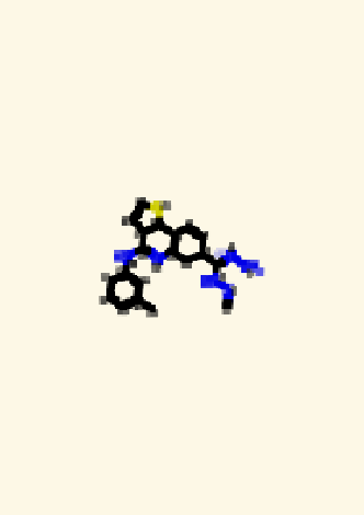 C=NN/C(=N\N)C1C=CC2=C(C1)N=C(Nc1cccc(C)c1)C1C=CSC21